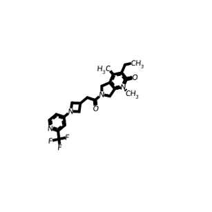 CCc1c(C)c2c(n(C)c1=O)CN(C(=O)CC1CN(c3ccnc(C(F)(F)F)c3)C1)C2